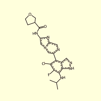 CC(C)Nc1c(F)c(Cl)c(-c2cn3cc(NC(=O)C4CCOC4)nc3cn2)c2cn[nH]c12